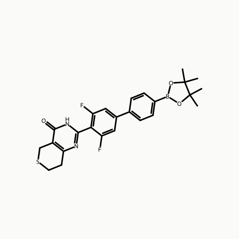 CC1(C)OB(c2ccc(-c3cc(F)c(-c4nc5c(c(=O)[nH]4)CSCC5)c(F)c3)cc2)OC1(C)C